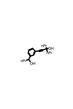 CCCC(O)c1cccc(C#CC(O)(CCC)CCC)c1